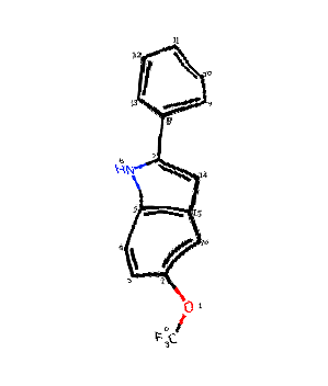 FC(F)(F)Oc1ccc2[nH]c(-c3ccccc3)cc2c1